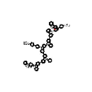 CC(C)(C)c1ccc(-c2ccc(-n3c4ccc(-c5ccc6c(c5)c5cc(-c7ccc8c(c7)c7ccccc7n8-c7ccc(-c8ccccc8C(C)(C)C)cc7)ccc5n6-c5ccccc5)cc4c4cc(-n5c6ccccc6c6cc(-c7ccc8c(c7)c7cccc(-n9c%10ccccc%10c%10ccccc%109)c7n8-c7ccc(-c8ccc(C(C)(C)C)cc8)cc7)ccc65)ccc43)cc2)cc1